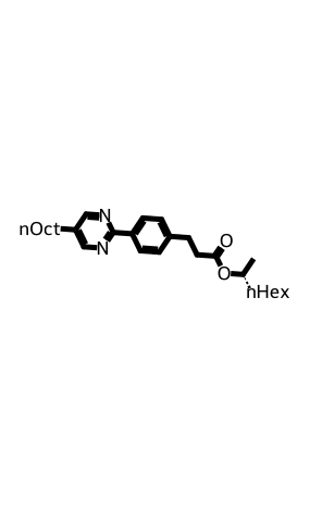 CCCCCCCCc1cnc(-c2ccc(CCC(=O)O[C@H](C)CCCCCC)cc2)nc1